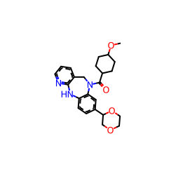 COC1CCC(C(=O)N2Cc3cccnc3Nc3ccc(C4COCCO4)cc32)CC1